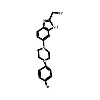 CC(C)Cc1nc2ccc(N3CCN(c4ccc(Br)cc4)CC3)cc2[nH]1